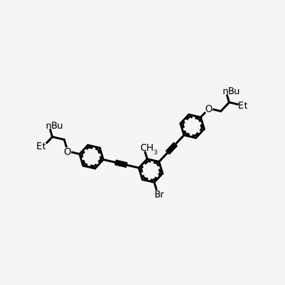 CCCCC(CC)COc1ccc(C#Cc2cc(Br)cc(C#Cc3ccc(OCC(CC)CCCC)cc3)c2C)cc1